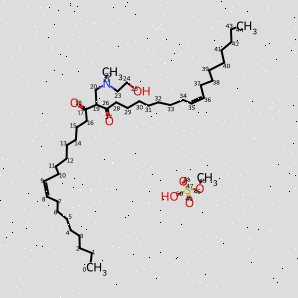 CCCCCCCC/C=C\CCCCCCCC(=O)C(CN(C)CCO)C(=O)CCCCCCC/C=C\CCCCCCCC.COS(=O)(=O)O